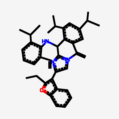 C=Cc1cccc(C(C)C)c1NC1c2c(cc(C(C)C)cc2C(C)C)C(=C)n2cc(-c3c(CC)oc4ccccc34)nc21